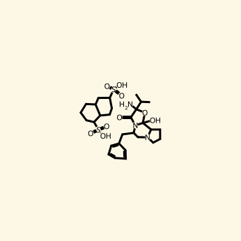 CC(C)C1(N)OC2(O)C3CCCN3CC(Cc3ccccc3)N2C1=O.O=S(=O)(O)C1CCC2C(CCCC2S(=O)(=O)O)C1